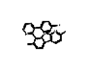 Cc1ccc2c(n1)oc1c(-c3ncccc3-c3ccc(C(C)C)cc3)c(C)ccc12